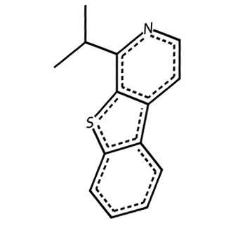 CC(C)c1nccc2c1sc1ccccc12